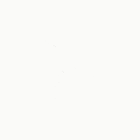 CCCNC(=O)c1c(NC(=O)C23CC4CC(CC2C4)C3)sc2c1CCN(C)C2